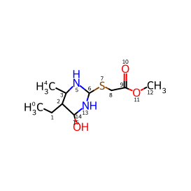 CCC1C(C)NC(SCC(=O)OC)NC1O